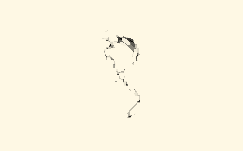 CC(C)(C)OC(=O)N1CCC2(CC1)CN(c1cc(F)cc(OC3CCN(C(=O)c4ccc(O[C@H]5CCN(C(=O)OC(C)(C)C)C5)c(C5CCCCC5)c4)CC3)c1)C2